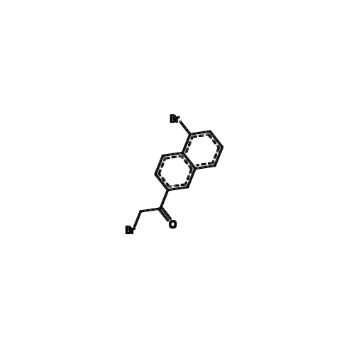 O=C(CBr)c1ccc2c(Br)cccc2c1